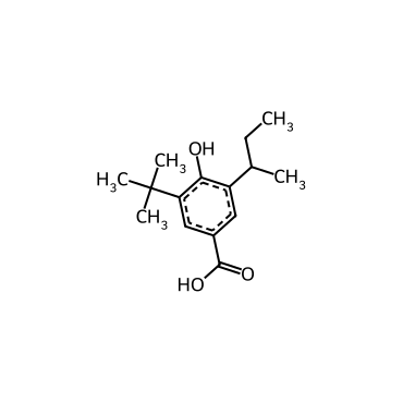 CCC(C)c1cc(C(=O)O)cc(C(C)(C)C)c1O